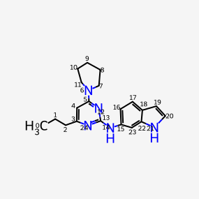 CCCc1cc(N2CCCCC2)nc(Nc2ccc3cc[nH]c3c2)n1